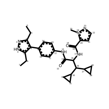 CCc1n[nH]c(CC)c1-c1ccc(NC(=O)C(NC(=O)c2ccnn2C)C(C2CC2)C2CC2)cc1